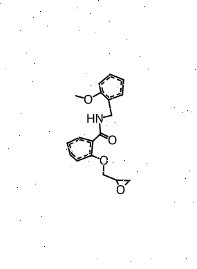 COc1ccccc1CNC(=O)c1ccccc1OCC1CO1